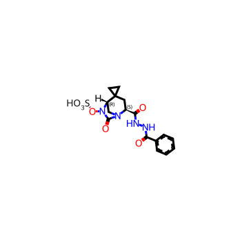 O=C(NNC(=O)[C@@H]1CC2(CC2)[C@@H]2CN1C(=O)N2OS(=O)(=O)O)c1ccccc1